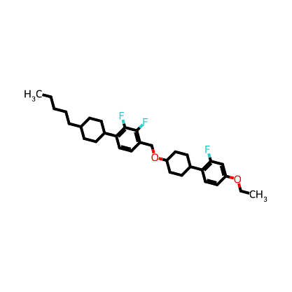 CCCCCC1CCC(c2ccc(COC3CCC(c4ccc(OCC)cc4F)CC3)c(F)c2F)CC1